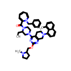 Cc1cccc2cccc(N3CCc4c(nc(OCC5CCCN5C)nc4N4CCN(C(=O)C5=CC=CC=CN5Cc5ccccc5)C(CC#N)C4)C3)c12